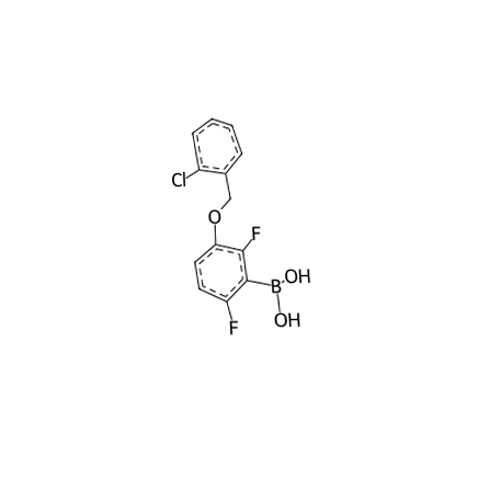 OB(O)c1c(F)ccc(OCc2ccccc2Cl)c1F